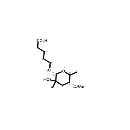 CO[C@@H]1CC(C)(O)[C@H](OCCCCC(=O)O)OC1C